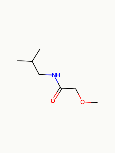 COCC(=O)NCC(C)C